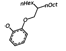 CCCCCCCCC(CCCCCC)COc1ccccc1[O]